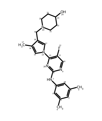 Cc1cc(C)cc(Nc2ncc(F)c(-n3cc(C)c(CN4CCC(O)CC4)c3)n2)c1